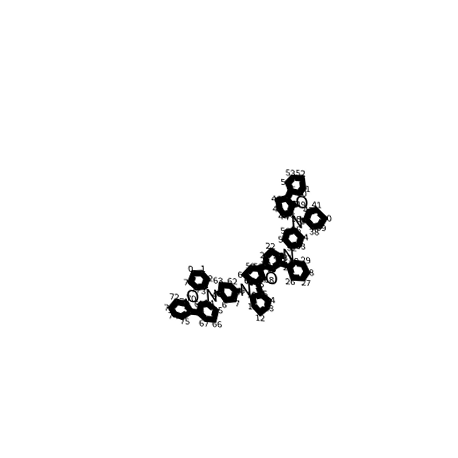 c1ccc(N(c2ccc(-n3c4ccccc4c4c5oc6c(ccc7c6c6ccccc6n7-c6ccc(N(c7ccccc7)c7cccc8c7oc7ccccc78)cc6)c5ccc43)cc2)c2cccc3c2oc2ccccc23)cc1